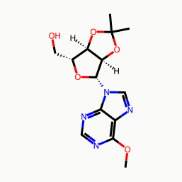 COc1ncnc2c1ncn2[C@@H]1O[C@H](CO)[C@H]2OC(C)(C)O[C@H]21